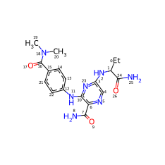 CCC(Nc1cnc(C(N)=O)c(Nc2ccc(C(=O)N(C)C)cc2)n1)C(N)=O